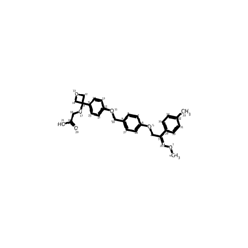 CO/N=C(/COc1ccc(COc2ccc(C3(OCC(=O)O)COC3)cc2)cc1)c1ccc(C)cc1